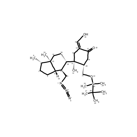 C[C@H]1CC[C@H]2[C@H](CN=[N+]=[N-])[C@@H]([C@@]3(C)CC(=CO)C(=O)C[C@@H]3CO[Si](C)(C)C(C)(C)C)CC[C@]12C